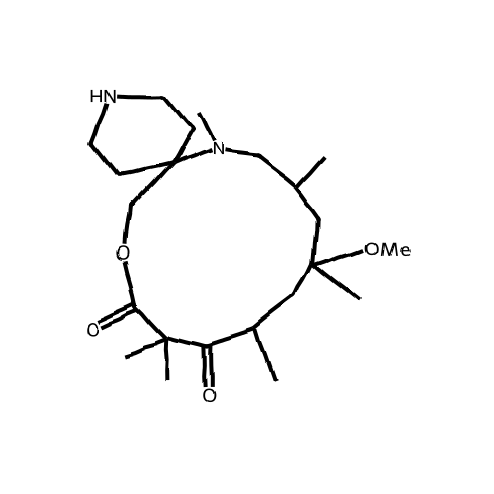 COC1(C)CC(C)CN(C)C2(CCNCC2)COC(=O)C(C)(C)C(=O)C(C)C1